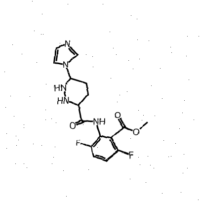 COC(=O)c1c(F)ccc(F)c1NC(=O)C1CCC(n2ccnc2)NN1